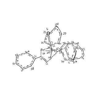 O=CC1=C(c2ccccc2)C2C=C(c3ccccc3)P1C2(c1ccccc1)c1ccccc1